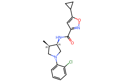 C[C@@H]1CN(c2ccccc2Cl)C[C@@H]1NC(=O)c1cc(C2CC2)on1